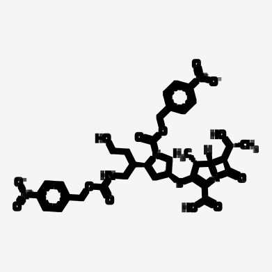 C[C@@H](O)[C@H]1C(=O)N2C(C(=O)O)=C(S[C@H]3C[C@@H](C(CCO)CNC(=O)OCc4ccc([N+](=O)[O-])cc4)N(C(=O)OCc4ccc([N+](=O)[O-])cc4)C3)[C@H](C)[C@H]12